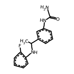 CC(Nc1ccccc1F)c1cccc(NC(N)=O)c1